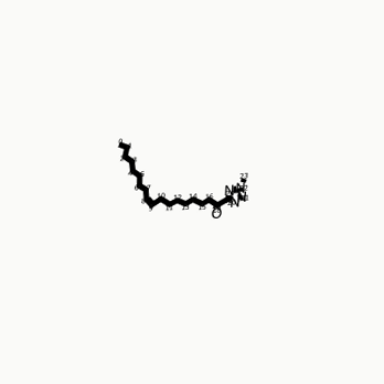 CCCCCCCC/C=C\CCCCCCCC(=O)c1nnn(C)n1